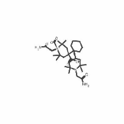 CC1(C)CC(C2(C3(C(=O)O)CC(C)(C)[N+](CC(N)=O)(C(=O)[O-])C(C)(C)C3)CCCCC2)CC(C)(C)N1CC(N)=O